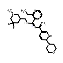 C=C(/N=C(/NCC1CN(C)CC(F)(F)C1)c1nccnc1CC)C1=CNC(N2CCOCC2)C=C1